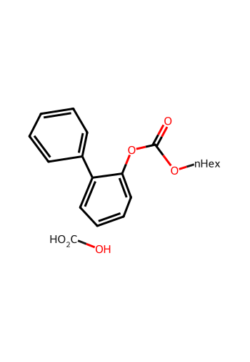 CCCCCCOC(=O)Oc1ccccc1-c1ccccc1.O=C(O)O